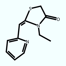 CCN1C(=O)CSC1=Cc1ccccn1